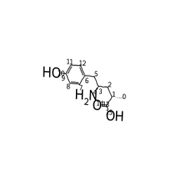 C[C@@H](C[C@@H](N)Cc1ccc(O)cc1)C(=O)O